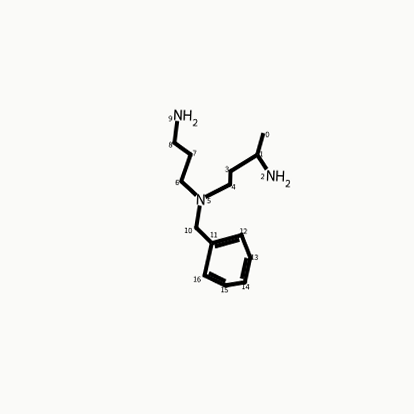 CC(N)CCN(CCCN)Cc1ccccc1